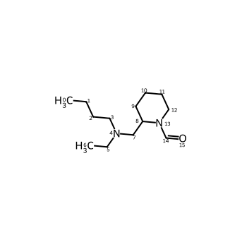 CCCCN(CC)CC1CCCCN1C=O